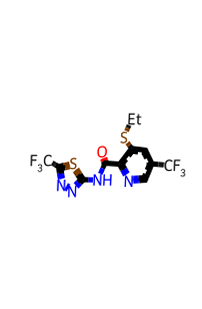 CCSc1cc(C(F)(F)F)cnc1C(=O)Nc1nnc(C(F)(F)F)s1